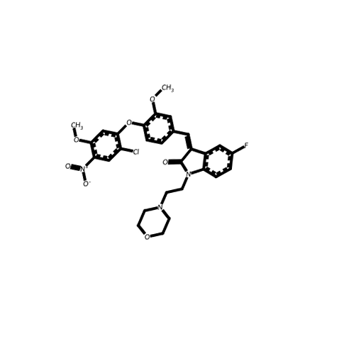 COc1cc(C=C2C(=O)N(CCN3CCOCC3)c3ccc(F)cc32)ccc1Oc1cc(OC)c([N+](=O)[O-])cc1Cl